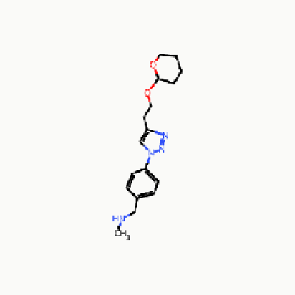 CNCc1ccc(-n2cc(CCOC3CCCCO3)nn2)cc1